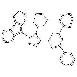 C1=CCCC(n2c(-c3cc(-c4ccccc4)nc(-c4ccccc4)n3)nnc2-n2c3ccccc3c3ccccc32)=C1